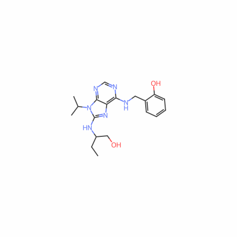 CCC(CO)Nc1nc2c(NCc3ccccc3O)ncnc2n1C(C)C